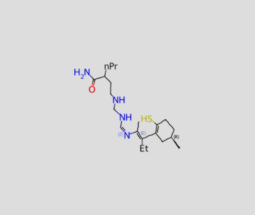 CCCC(CCNCN/C=N\C(C)=C(/CC)C1=C(S)CC[C@@H](C)C1)C(N)=O